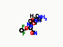 CCC(C)(N)CNC(=O)Oc1c(C)nc2c(OCc3c(F)cccc3F)cc(-c3cnco3)cn12